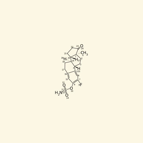 C[C@]12CC[C@@H]3c4cc(F)c(OS(N)(=O)=O)cc4CC[C@H]3[C@@H]1CCC2=O